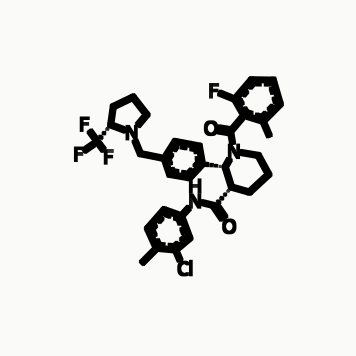 Cc1ccc(NC(=O)[C@H]2CCCN(C(=O)c3c(C)cccc3F)[C@H]2c2ccc(CN3CCC[C@H]3C(F)(F)F)cc2)cc1Cl